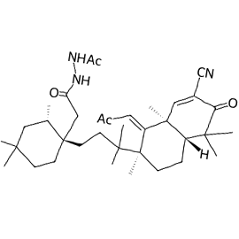 CC(=O)/C=C1/[C@@]2(C)C=C(C#N)C(=O)C(C)(C)[C@@H]2CC[C@@]1(C)C(C)(C)CC[C@@]1(CC(=O)NNC(C)=O)CCC(C)(C)C[C@@H]1C